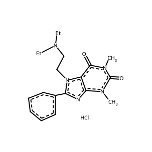 CCN(CC)CCn1c(-c2ccccc2)nc2c1c(=O)n(C)c(=O)n2C.Cl